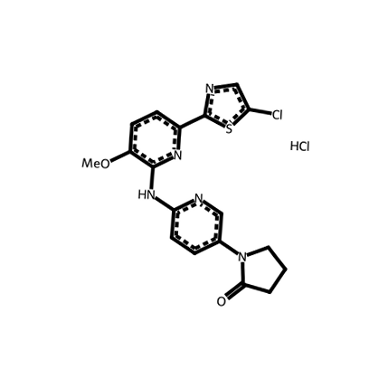 COc1ccc(-c2ncc(Cl)s2)nc1Nc1ccc(N2CCCC2=O)cn1.Cl